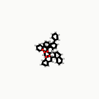 C1=CC2C=CC(c3cc(-c4ccccc4)ccc3N(c3ccc4ccccc4c3-c3ccc4ccccc4c3)c3cccc4oc5ccccc5c34)=CC2C=C1